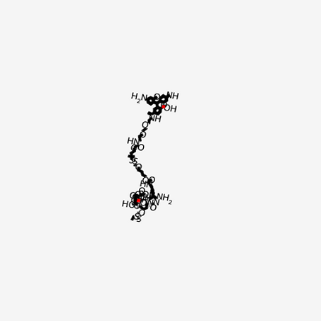 C=C(NCCOCCOCCNC(=O)OCCC(C)(C)SSCOCCCCOC(=O)NCC#Cc1cn([C@H]2CC(OCS(=S)CC)[C@@H](OP(=O)(O)OP(=O)(O)OP(=O)(O)O)O2)c(=O)nc1N)c1ccc(C(=O)O)c(-c2c3ccc(=N)cc-3oc3cc(N)ccc23)c1